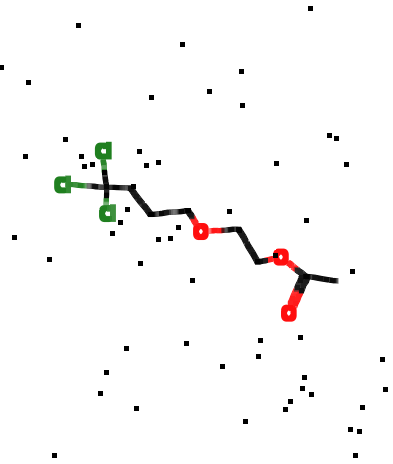 CC(=O)OCCOCCCC(Cl)(Cl)Cl